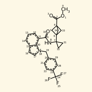 COC(=O)C12CC(C3(NC(=O)c4cccc5ccn(Cc6ccc(C(F)(F)F)cc6)c45)CC3)(C1)C2